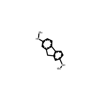 CC(C)(C)Nc1ccc2c(c1)Cc1cc(NC(C)(C)C)ccc1-2